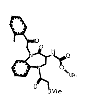 COCC(=O)N1CC(NC(=O)OC(C)(C)C)C(=O)N(CC(=O)c2ccccc2C)c2ccccc21